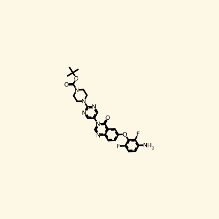 CC(C)(C)OC(=O)N1CCN(c2ncc(-n3cnc4ccc(Oc5c(F)ccc(N)c5F)cc4c3=O)cn2)CC1